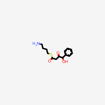 NCCCCSC(=O)CC(=O)C(O)c1ccccc1